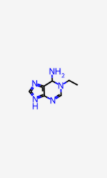 CCN1C=Nc2[nH]cnc2C1N